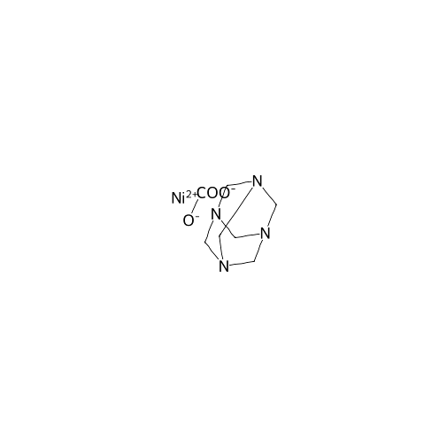 C1N2CN3CN1CN(C2)C3.O=C([O-])[O-].[Ni+2]